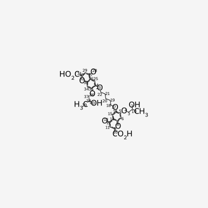 CC(O)COc1cc2oc(C(=O)O)cc(=O)c2cc1OCCCCCOc1cc2c(=O)cc(C(=O)O)oc2cc1OCC(C)O